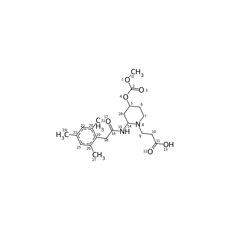 COC(=O)OC1CCN(CCC(=O)O)C(NC(=O)Cc2c(C)cc(C)cc2C)C1